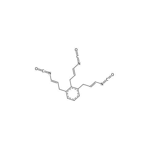 O=C=NC=CCc1cccc(CC=CN=C=O)c1CC=CN=C=O